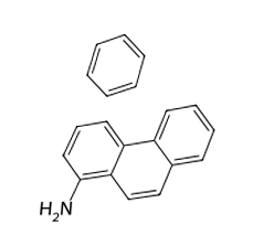 Nc1cccc2c1ccc1ccccc12.c1ccccc1